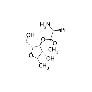 CC(C)[C@H](N)C(=O)O[C@@H]1[C@@H](CO)OC(C)[C@]1(C)O